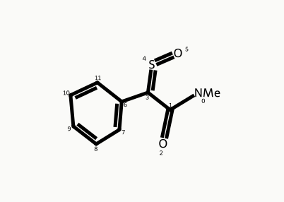 CNC(=O)C(=S=O)c1ccccc1